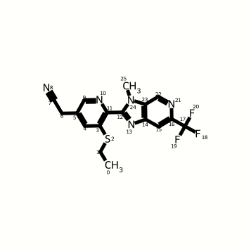 CCSc1cc(CC#N)cnc1-c1nc2cc(C(F)(F)F)ncc2n1C